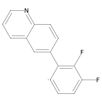 Fc1cc[c]c(-c2ccc3ncccc3c2)c1F